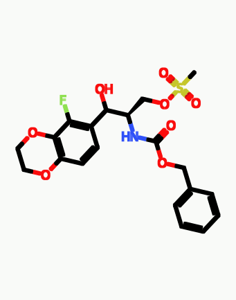 CS(=O)(=O)OC[C@@H](NC(=O)OCc1ccccc1)C(O)c1ccc2c(c1F)OCCO2